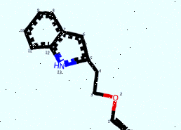 C=COCCc1cc2ccccc2[nH]1